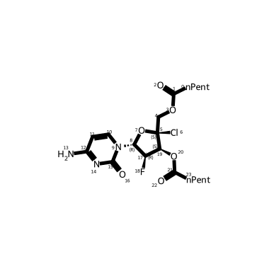 CCCCCC(=O)OC[C@@]1(Cl)O[C@@H](n2ccc(N)nc2=O)[C@H](F)[C@@H]1OC(=O)CCCCC